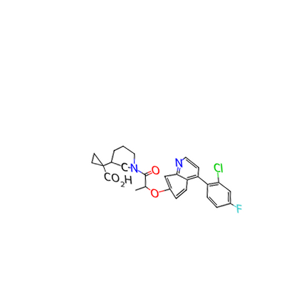 CC(Oc1ccc2c(-c3ccc(F)cc3Cl)ccnc2c1)C(=O)N1CCCC(C2(C(=O)O)CC2)C1